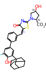 O=C1N=C(N2C[C@@H](O)C[C@H]2C(=O)O)S/C1=C/c1cccc(-c2cc(F)c(O)c(C34CC5CC(CC(C5)C3)C4)c2)c1